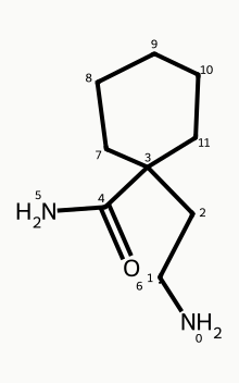 N[CH]CC1(C(N)=O)CCCCC1